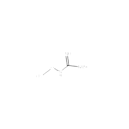 CCCONC(=N)NC